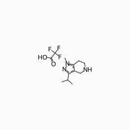 CC(C)c1nn(C)c2c1CNCC2.O=C(O)C(F)(F)F